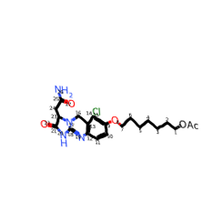 CC(=O)OCCCCCCCOc1ccc2c(c1Cl)CN1C(=N2)NC(=O)C1CC(N)=O